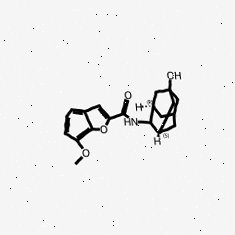 COc1cccc2cc(C(=O)NC3[C@@H]4CC5C[C@H]3CC(O)(C5)C4)oc12